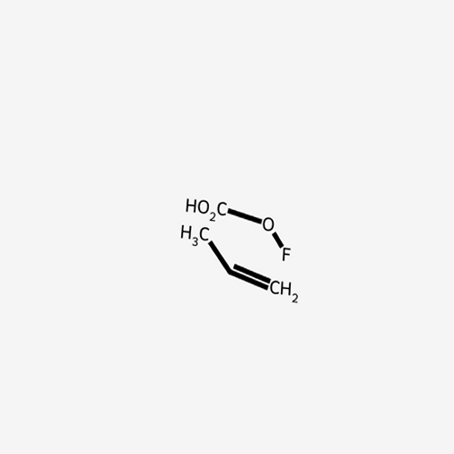 C=CC.O=C(O)OF